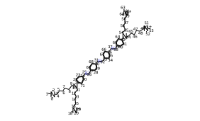 C[N+](C)(C)CCCCCCN(CCCCCC[N+](C)(C)C)c1ccc(/C=C/c2ccc(/C=C/c3ccc(/C=C/c4ccc(N(CCCCCC[N+](C)(C)C)CCCCCC[N+](C)(C)C)cc4)cc3)cc2)cc1